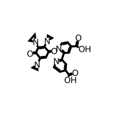 O=C(O)c1ccnc(-c2cc(C(=O)O)ccn2)c1.O=C1C=C(N2CC2)C(=O)C(N2CC2)=C1N1CC1